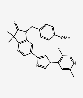 COc1ccc(CN2C(=O)C(C)(C)c3ccc(-c4cn(-c5cc(C)ncc5F)cn4)cc32)cc1